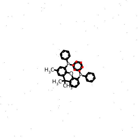 Cc1cc(P(c2ccccc2)c2ccccc2)c2c(c1)C(C)(C)c1cccc(P(c3ccccc3)c3ccccc3)c1O2